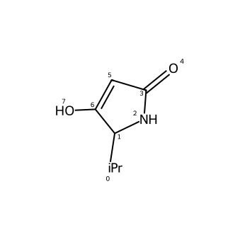 CC(C)C1NC(=O)C=C1O